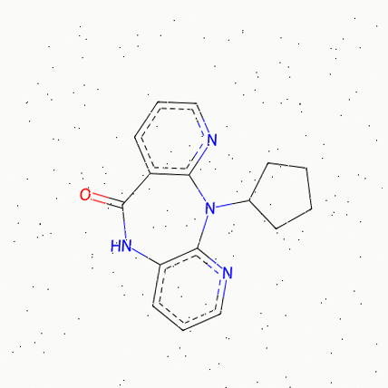 O=C1Nc2cccnc2N(C2CCCC2)c2ncccc21